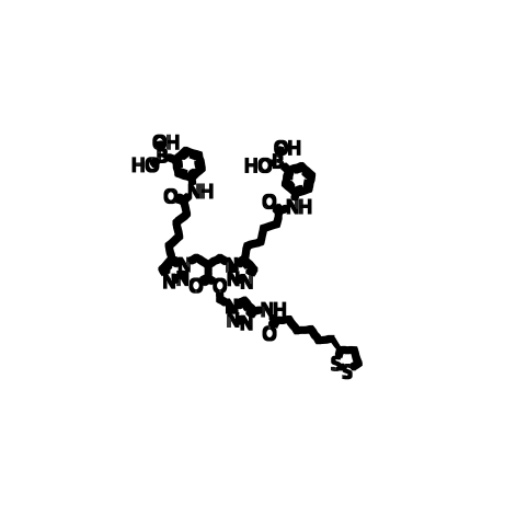 O=C(CCCCc1cnnn1CC(Cn1nncc1CCCCC(=O)Nc1cccc(B(O)O)c1)C(=O)OCn1cc(NC(=O)CCCCC[C@H]2CCSS2)nn1)Nc1cccc(B(O)O)c1